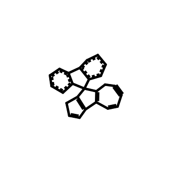 C1#CCC2=C(C=C1)C1=C(CC=C1)C21c2ccccc2-c2ccccc21